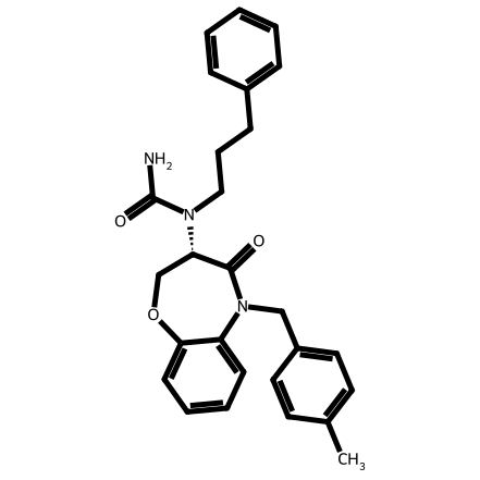 Cc1ccc(CN2C(=O)[C@@H](N(CCCc3ccccc3)C(N)=O)COc3ccccc32)cc1